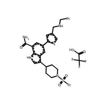 CCS(=O)(=O)N1CCC(c2c[nH]c3c(C(N)=O)cc(-c4cc(CNCC(C)C)cs4)cc23)CC1.O=C(O)C(F)(F)F